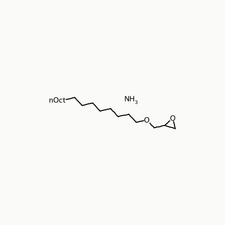 CCCCCCCCCCCCCCCCOCC1CO1.N